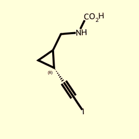 O=C(O)NCC1C[C@H]1C#CI